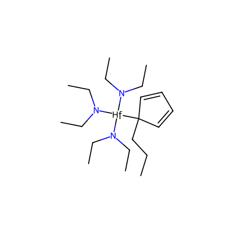 CCC[C]1([Hf]([N](CC)CC)([N](CC)CC)[N](CC)CC)C=CC=C1